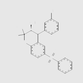 CC1(C)Oc2ccc(S(=O)(=O)c3ccccc3)cc2C(c2cccc(Cl)c2)[C@@H]1O